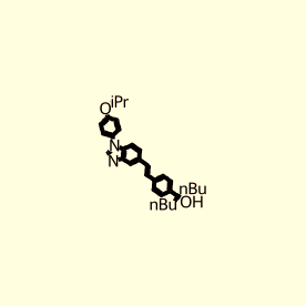 CCCCC(O)(CCCC)c1ccc(C=Cc2ccc3c(c2)ncn3-c2ccc(OC(C)C)cc2)cc1